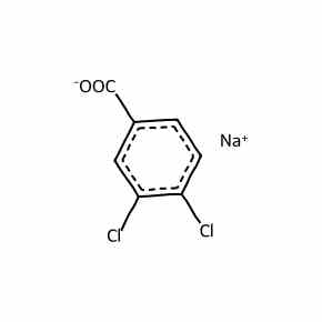 O=C([O-])c1ccc(Cl)c(Cl)c1.[Na+]